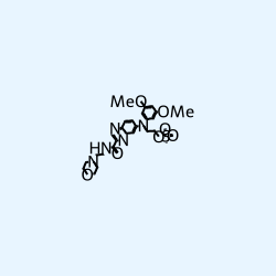 COc1cc(OC)cc(N(CCOS(C)(=O)=O)c2ccc3ncc(C(=O)NCCN4CCOCC4)nc3c2)c1